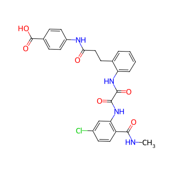 CNC(=O)c1ccc(Cl)cc1NC(=O)C(=O)Nc1ccccc1CCC(=O)Nc1ccc(C(=O)O)cc1